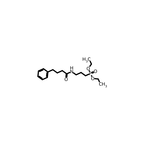 CCOP(=O)(CCCNC(=O)CCCc1ccccc1)OCC